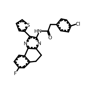 O=C(Cc1ccc(Cl)cc1)Nc1nc2c(nc1-c1cccs1)-c1ccc(F)cc1CC2